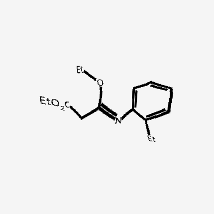 CCOC(=O)C/C(=N/c1ccccc1CC)OCC